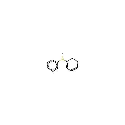 C[S+](C1=CC=CCC1)c1ccccc1